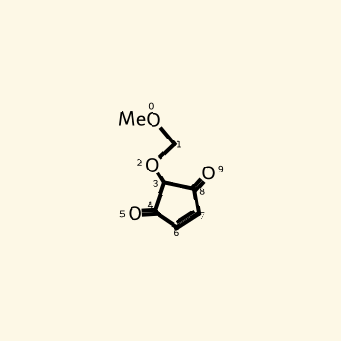 COCOC1C(=O)C=CC1=O